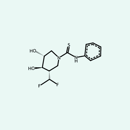 O[C@H]1[C@H](O)CN(C(=S)Nc2ccccc2)C[C@@H]1C(F)F